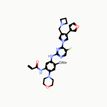 C=CC(=O)Nc1cc(Nc2ncc(F)c(-n3cc(CN4CCC4)c(-c4ccoc4)c3)n2)c(OC)cc1N1CCOCC1